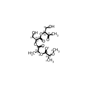 CO[C@@H](C)C(=O)O[C@@H](C)C(=O)O[C@@H](CO)C(=O)O[C@@H](CO)C(C)=O